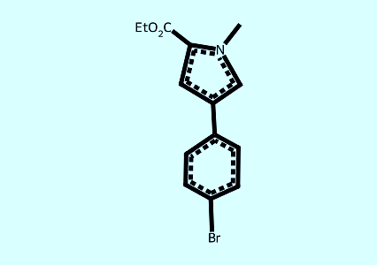 CCOC(=O)c1cc(-c2ccc(Br)cc2)cn1C